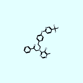 Cc1ncnc(N(CCc2ccc(Oc3ccc(C(F)(F)F)cn3)cc2)CC(=O)c2ccccc2)c1Cl